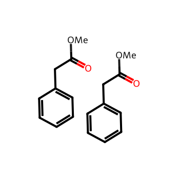 COC(=O)Cc1ccccc1.COC(=O)Cc1ccccc1